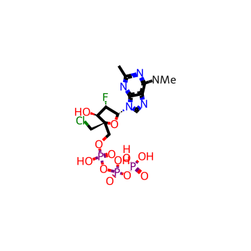 CNc1nc(C)nc2c1ncn2[C@@H]1O[C@](CCl)(COP(=O)(O)OP(=O)(O)OP(=O)(O)O)[C@@H](O)[C@@H]1F